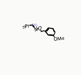 CCC/[C]=N/OCc1cccc(OC)c1